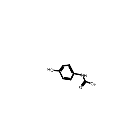 O=C(O)Nc1ccc(O)cc1